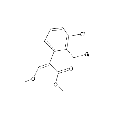 CO/C=C(\C(=O)OC)c1cccc(Cl)c1CBr